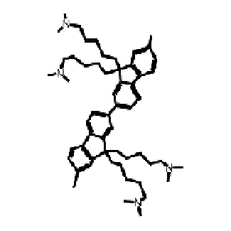 Cc1ccc2c(c1)C(CCCCCN(C)C)(CCCCCN(C)C)c1cc(-c3ccc4c(c3)C(CCCCCN(C)C)(CCCCCN(C)C)c3cc(C)ccc3-4)ccc1-2